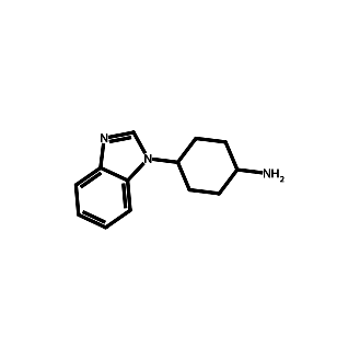 NC1CCC(n2cnc3ccccc32)CC1